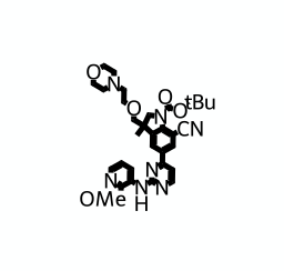 COc1ncccc1Nc1nccc(-c2cc(C#N)c3c(c2)C(C)(COCCN2CCOCC2)CN3C(=O)OC(C)(C)C)n1